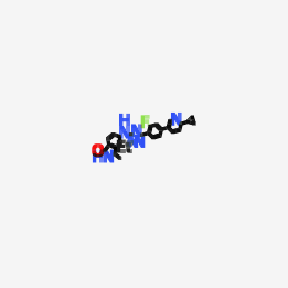 CCn1nc(-c2ccc(-c3ccc(C4CC4)nc3)cc2F)nc1NC1C=CC2=C(C1)C(C)NC2=O